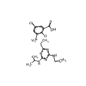 CCNc1nc(NC(C)C)nc(SC)n1.Nc1cc(Cl)cc(C(=O)O)c1Cl